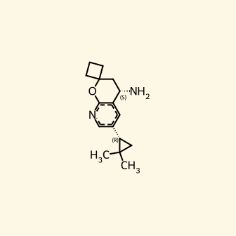 CC1(C)C[C@H]1c1cnc2c(c1)[C@@H](N)CC1(CCC1)O2